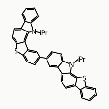 CC(C)n1c2ccc(-c3ccc4sc5ccc6c7ccccc7n(C(C)C)c6c5c4c3)cc2c2ccc3c4ccccc4sc3c21